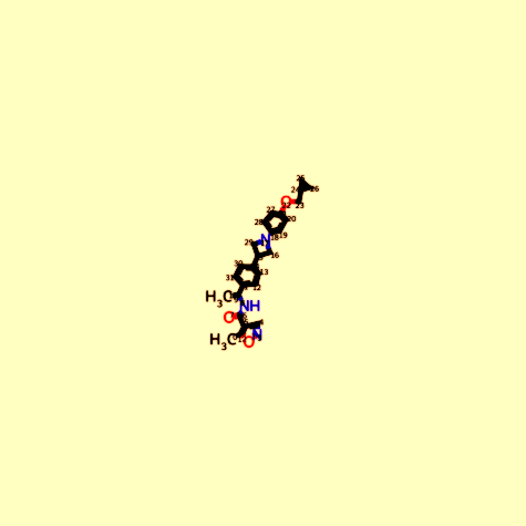 Cc1oncc1C(=O)NC(C)c1ccc(C2CN(c3ccc(OCC4CC4)cc3)C2)cc1